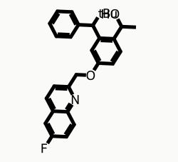 CC(O)c1ccc(OCc2ccc3cc(F)ccc3n2)cc1C(c1ccccc1)C(C)(C)C